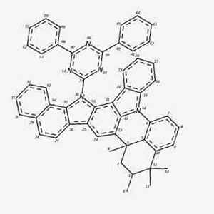 CC1CC2(C)c3c(cccc3C1(C)C)-n1c3ccccc3c3c1c2cc1c2ccc4ccccc4c2n(-c2nc(-c4ccccc4)nc(-c4ccccc4)n2)c13